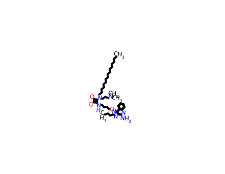 CCCCCCCCCCCCCCCCCN(CCCN(C)C)c1c(NCCCCOn2c(CCCC)nc3c(N)nc4ccccc4c32)c(=O)c1=O